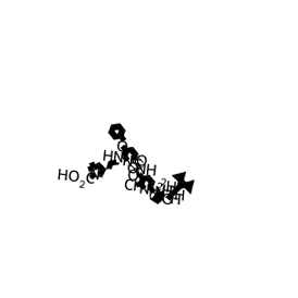 [2H]C([2H])(Oc1ccn(-c2ccc(C(=O)NS(=O)(=O)c3ccc(OCc4ccccc4)c(NCCC[C@@H]4CN(C(=O)O)C(C)(C)C4)n3)c(Cl)n2)n1)C([2H])([2H])C1C2(CC2)C12CC2